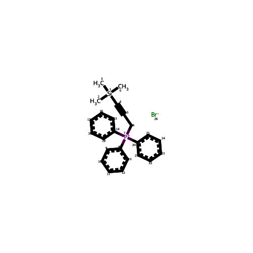 C[Si](C)(C)C#CC[P+](c1ccccc1)(c1ccccc1)c1ccccc1.[Br-]